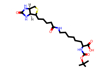 CC(C)(C)OC(=O)NC(CCCCCCNC(=O)CCCCC1SC[C@@H]2NC(=O)N[C@H]12)C(=O)O